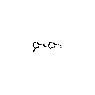 Fc1cccc(/C=C/c2ccc(CCl)cc2)c1